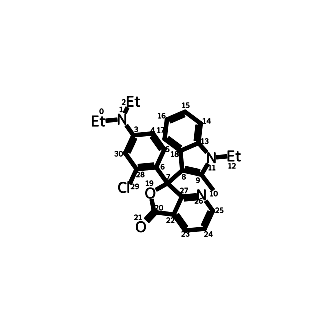 CCN(CC)c1ccc(C2(c3c(C)n(CC)c4ccccc34)OC(=O)c3cccnc32)c(Cl)c1